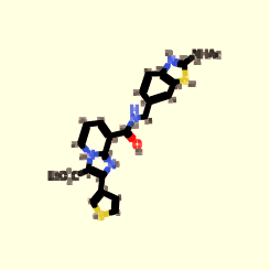 CCOC(=O)c1c(-c2ccsc2)nc2c(C(=O)NCc3ccc4nc(NC(C)=O)sc4c3)cccn12